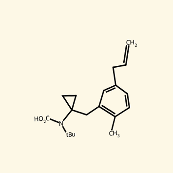 C=CCc1ccc(C)c(CC2(N(C(=O)O)C(C)(C)C)CC2)c1